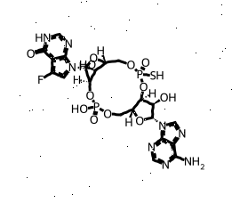 Nc1ncnc2c1ncn2[C@@H]1O[C@@H]2COP(=O)(O)O[C@@H]3[C@H](O)[C@@H](COP(=O)(S)O[C@H]2[C@H]1O)O[C@H]3n1cc(F)c2c(=O)[nH]cnc21